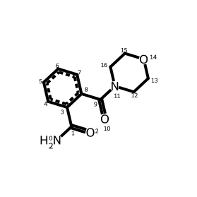 NC(=O)c1ccccc1C(=O)N1CCOCC1